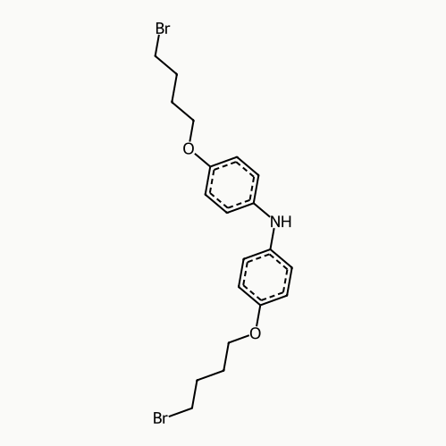 BrCCCCOc1ccc(Nc2ccc(OCCCCBr)cc2)cc1